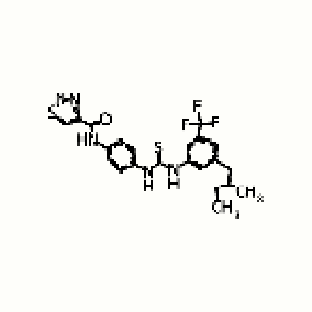 CCC(C)Cc1cc(NC(=S)Nc2ccc(NC(=O)c3csnn3)cc2)cc(C(F)(F)F)c1